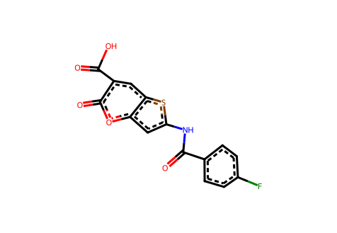 O=C(Nc1cc2oc(=O)c(C(=O)O)cc2s1)c1ccc(F)cc1